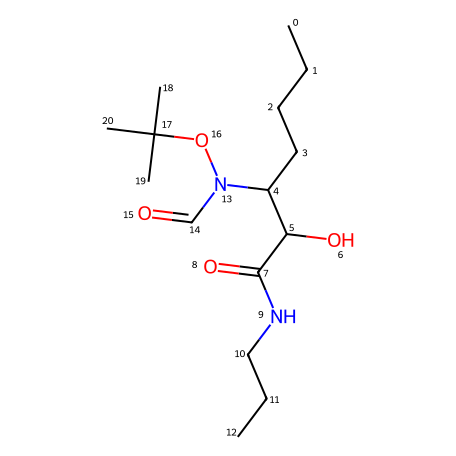 CCCCC(C(O)C(=O)NCCC)N(C=O)OC(C)(C)C